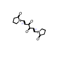 O=C(/C=C/N1CCCC1=O)C(=O)/C=C/N1CCCC1=O